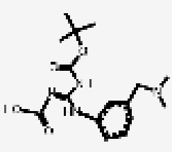 CN(C)Cc1cccc(N/C(=N\C(=O)O)NC(=O)OC(C)(C)C)c1